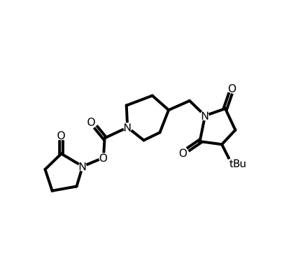 CC(C)(C)C1CC(=O)N(CC2CCN(C(=O)ON3CCCC3=O)CC2)C1=O